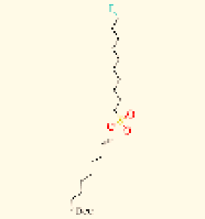 CCCCCCCCCCCCCCCCC=COS(=O)(=O)CCCCCCCCCCF